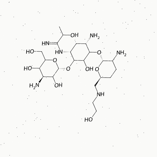 CC(O)C(=N)N[C@@H]1C[C@H](N)C(O[C@H]2O[C@H](CNCCO)CCC2N)C(O)C1O[C@H]1OC(CO)C(O)[C@H](N)C1O